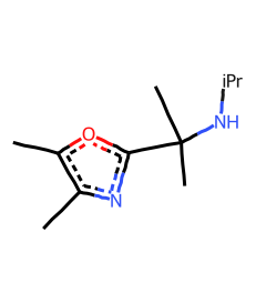 Cc1nc(C(C)(C)NC(C)C)oc1C